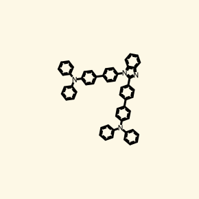 c1ccc(N(c2ccccc2)c2ccc(-c3ccc(-c4nc5ccccc5n4-c4ccc(-c5ccc(N(c6ccccc6)c6ccccc6)cc5)cc4)cc3)cc2)cc1